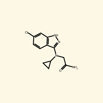 NC(=O)CN(c1n[nH]c2cc(Cl)ccc12)C1CC1